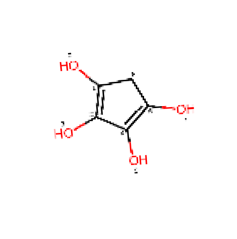 OC1=C(O)C(O)=C(O)C1